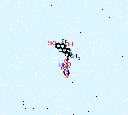 CC[C@@H]1C2C[C@H](O)CCC2(C)C2CC[C@@]3(C)C(CC[C@@H]3[C@H](C)CCOC(=O)NS(=O)(=O)N3CCOCC3)C2[C@@H]1O